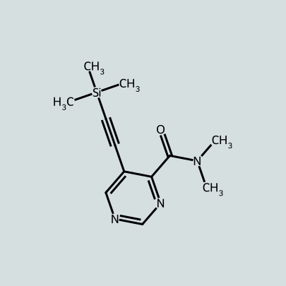 CN(C)C(=O)c1ncncc1C#C[Si](C)(C)C